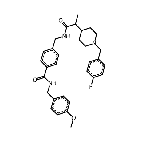 COc1ccc(CNC(=O)c2ccc(CNC(=O)C(C)C3CCN(Cc4ccc(F)cc4)CC3)cc2)cc1